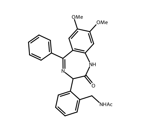 COc1cc2c(cc1OC)C(c1ccccc1)=NC(c1ccccc1CNC(C)=O)C(=O)N2